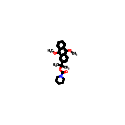 COc1c2ccccc2c(OC)c2cc(C(C)(C)OC(=O)N3CCCCC3)ccc12